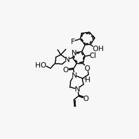 C=CC(=O)N1CCN2C(=O)c3c(N4CC(CO)CC4(C)C)nc(-c4c(O)cccc4F)c(Cl)c3OC[C@H]2C1